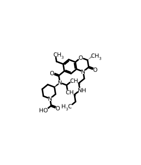 CCCNCCN1C(=O)[C@@H](C)Oc2cc(CC)c(C(=O)N(C(C)C)[C@@H]3CCCN(C(=O)O)C3)cc21